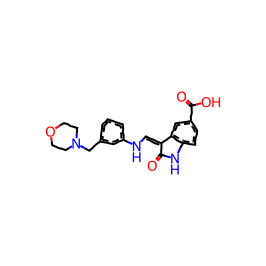 O=C1Nc2ccc(C(=O)O)cc2/C1=C/Nc1cccc(CN2CCOCC2)c1